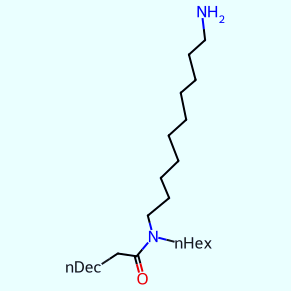 CCCCCCCCCCCC(=O)N(CCCCCC)CCCCCCCCCCN